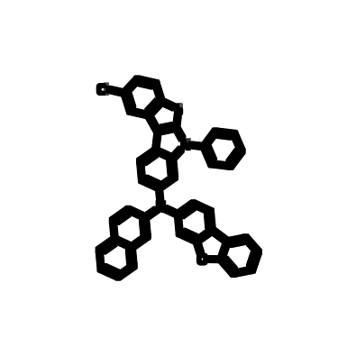 Clc1ccc2sc3c(c2c1)c1ccc(N(c2ccc4ccccc4c2)c2ccc4c(c2)oc2ccccc24)cc1n3-c1ccccc1